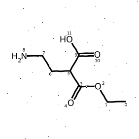 CCOC(=O)C(CCN)C(=O)O